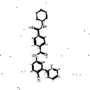 N=C(NC1CCCCC1)c1ccc(C(=O)Nc2ccc(Cl)c(-c3ccccn3)c2)cc1